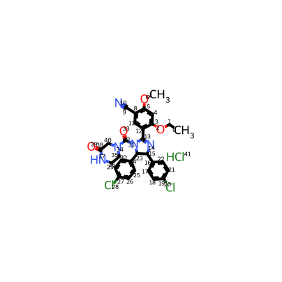 CCOc1cc(OC)c(C#N)cc1C1=NC(c2ccc(Cl)cc2)C(c2ccc(Cl)cc2)N1C(=O)N1CCNC(=O)C1.Cl